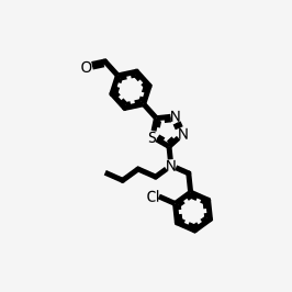 CCCCN(Cc1ccccc1Cl)c1nnc(-c2ccc(C=O)cc2)s1